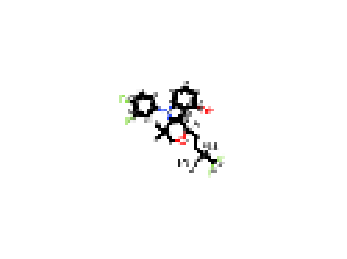 CC[C@@](CC[C@@]1(C)OCC(C)(C)c2c1c1c(O)cccc1n2-c1ccc(F)c(F)c1)(C(=O)O)C(F)F